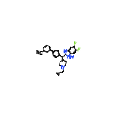 N#Cc1cccc(-c2ccc(C(=C3CCN(CC4CC4)CC3)c3nc4cc(F)c(F)cc4[nH]3)cc2)c1